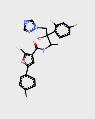 CC(NC(=O)c1cc(-c2ccc(Cl)cc2)oc1C(F)(F)F)C(O)(Cn1cncn1)c1ccc(F)cc1F